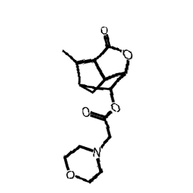 CC1C2CC3C(OC(=O)C13)C2OC(=O)CN1CCOCC1